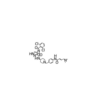 CN(C)CC=CC(=O)Nc1ccc(CN2CCC(NC(=O)c3n[nH]cc3NC(=O)c3c(Cl)cccc3Cl)CC2)cc1